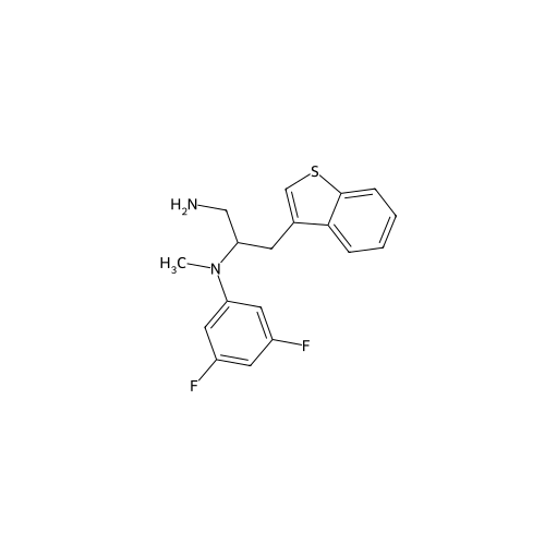 CN(c1cc(F)cc(F)c1)C(CN)Cc1csc2ccccc12